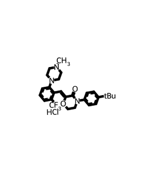 CN1CCN(c2cccc(C(F)(F)F)c2C=C2OCCN(c3ccc(C(C)(C)C)cc3)C2=O)CC1.Cl